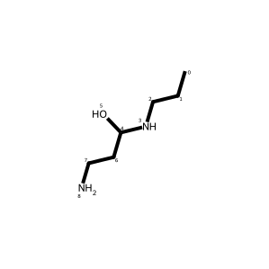 CCCNC(O)CCN